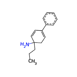 CCCC1(N)C=CC(c2ccccc2)=CC1